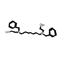 OCCN(CCCCCCCN(CCO)Cc1ccccc1)Cc1ccccc1